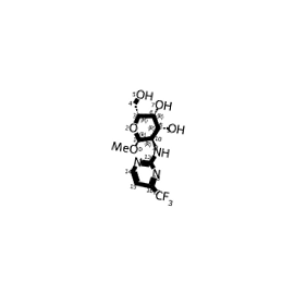 CO[C@@H]1O[C@H](CO)[C@H](O)[C@H](O)[C@H]1Nc1nccc(C(F)(F)F)n1